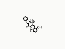 CN1C(=O)C(Cc2c(O)cccc2O)CC(=O)C1Cc1ccccc1